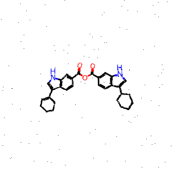 O=C(OC(=O)c1ccc2c(C3CCCCC3)c[nH]c2c1)c1ccc2c(C3=CCCCC3)c[nH]c2c1